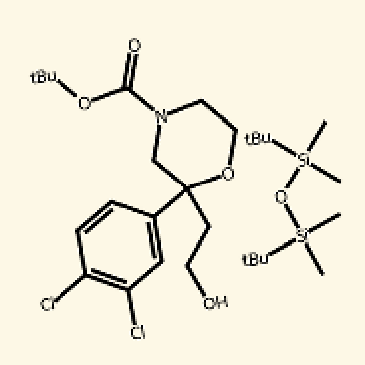 CC(C)(C)OC(=O)N1CCOC(CCO)(c2ccc(Cl)c(Cl)c2)C1.CC(C)(C)[Si](C)(C)O[Si](C)(C)C(C)(C)C